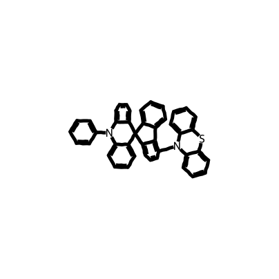 c1ccc(N2c3ccccc3C3(c4ccccc4-c4c(N5c6ccccc6Sc6ccccc65)cccc43)c3ccccc32)cc1